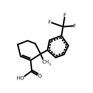 CC1(c2cccc(C(F)(F)F)c2)CCCC=C1C(=O)O